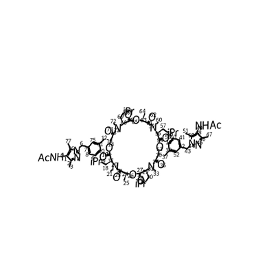 CC(=O)Nc1c(C)nn(Cc2cccc(C[C@H]3OC(=O)[C@H](CC(C)C)N(C)C(=O)[C@H](C)OC(=O)[C@H](CC(C)C)N(C)C(=O)[C@@H](Cc4cccc(Cn5nc(C)c(NC(C)=O)c5C)c4)OC(=O)[C@H](CC(C)C)N(C)C(=O)[C@H](C)OC(=O)[C@H](CC(C)C)N(C)C3=O)c2)c1C